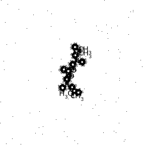 CC1(C)c2ccccc2-c2ccc(N(C3=CC=CCC3)c3ccc4c(c3)oc3c5oc6cc(N(c7ccccc7)c7ccc8c(c7)C(C)(C)c7ccccc7-8)ccc6c5c5ccccc5c43)cc21